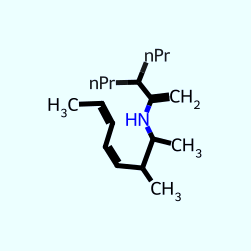 C=C(NC(C)C(C)/C=C\C=C/C)C(CCC)CCC